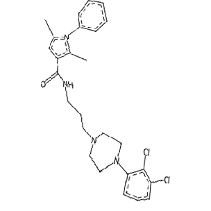 Cc1cc(C(=O)NCCCN2CCN(c3cccc(Cl)c3Cl)CC2)c(C)n1-c1ccccc1